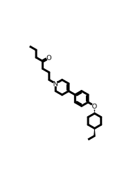 CCCC(=O)CCCN1CC=C(c2ccc(O[C@H]3CC[C@H](CC)CC3)cc2)CC1